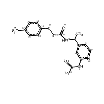 CC(C)C(=O)Nc1cc(C(C)NC(=O)COc2ccc(C(F)(F)F)cc2)ccn1